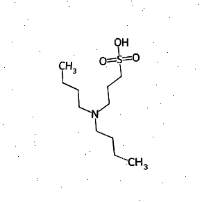 CCCCN(CCCC)CCCS(=O)(=O)O